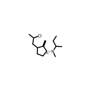 C=C1C(CC(C)Cl)CC[C@H]1N(C)C(C)CC